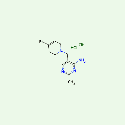 CCC1=CCN(Cc2cnc(C)nc2N)CC1.Cl.Cl